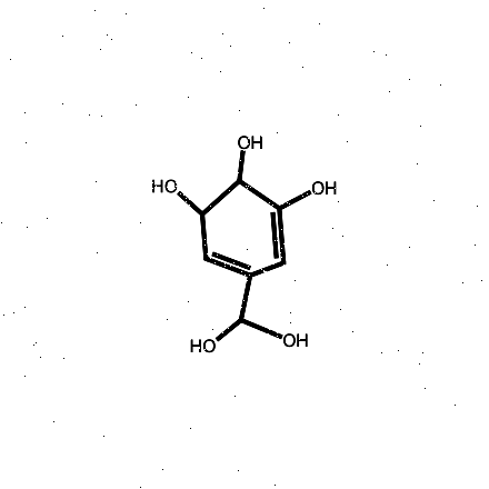 OC1=CC(C(O)O)=CC(O)C1O